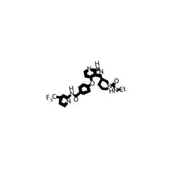 CCNC(=O)N1CCCC(c2n[nH]c3nccc(Oc4ccc(C(=O)Nc5cc(C(F)(F)F)ccn5)cc4)c23)C1